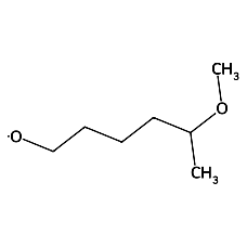 COC(C)CCCC[O]